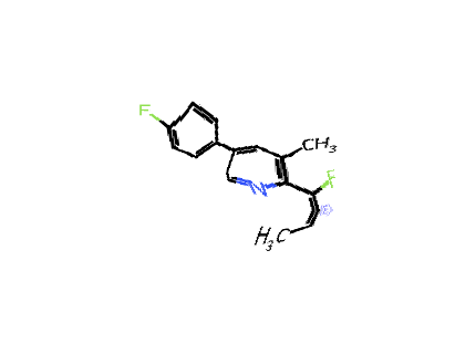 C/C=C(/F)c1ncc(-c2ccc(F)cc2)cc1C